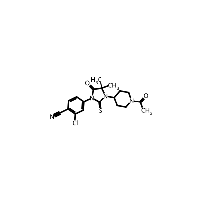 CC(=O)N1CCC(N2C(=S)N(c3ccc(C#N)c(Cl)c3)C(=O)C2(C)C)CC1